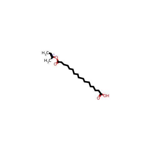 C/C=C(\C)OC(=O)CCCCCCCCCCCCCCCC(=O)O